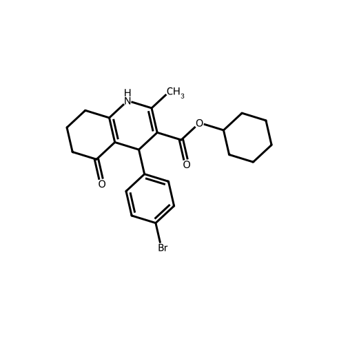 CC1=C(C(=O)OC2CCCCC2)C(c2ccc(Br)cc2)C2=C(CCCC2=O)N1